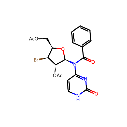 CC(=O)OC[C@H]1O[C@@H](N(C(=O)c2ccccc2)c2cc[nH]c(=O)n2)[C@H](OC(C)=O)[C@H]1Br